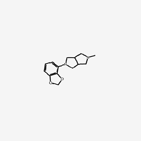 CN1CC2CN(c3cccc4c3OCO4)CC2C1